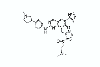 CN(C)CC[S+]([O-])c1scnc1Cn1c(=O)c(-c2nccn2C)cc2cnc(Nc3ccc(C4CCN(C)C4)cc3)nc21